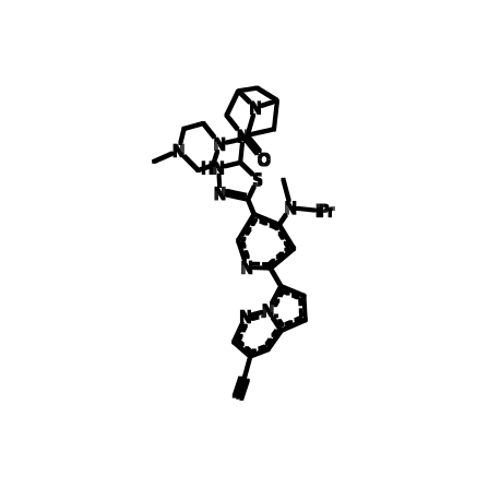 C#Cc1cnn2c(-c3cc(N(C)C(C)C)c(C4=NNC(N5CC6CC(C5)N6C(=O)N5CCN(C)CC5)S4)cn3)ccc2c1